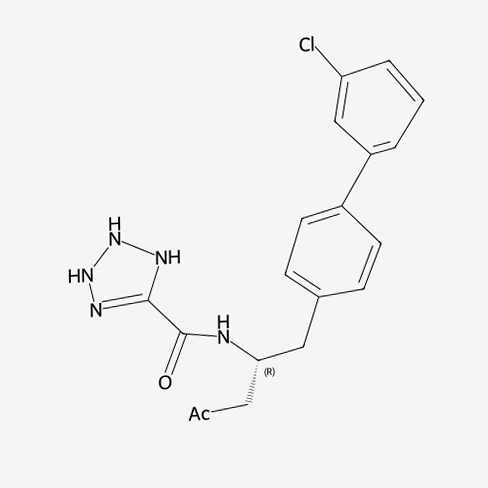 CC(=O)C[C@@H](Cc1ccc(-c2cccc(Cl)c2)cc1)NC(=O)C1=NNNN1